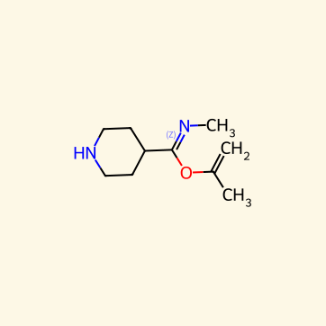 C=C(C)O/C(=N\C)C1CCNCC1